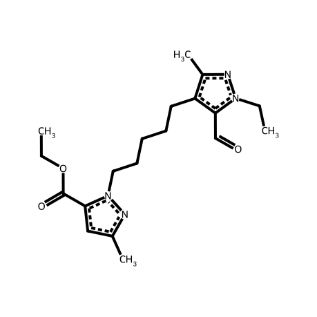 CCOC(=O)c1cc(C)nn1CCCCCc1c(C)nn(CC)c1C=O